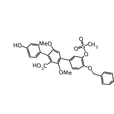 COc1cc(-c2ccc(OCc3ccccc3)c(OS(C)(=O)=O)c2)c(OC)c(C(=O)O)c1-c1ccc(O)cc1